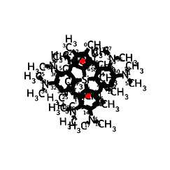 CC1=C(C)C(C)C([Si](c2c(N(C)C)cc(N(C)C)c(N(C)C)c2N(C)C)(c2c(N(C)C)cc(N(C)C)c(N(C)C)c2N(C)C)c2c(N(C)C)cc(N(C)C)c(N(C)C)c2N(C)C)=C1C